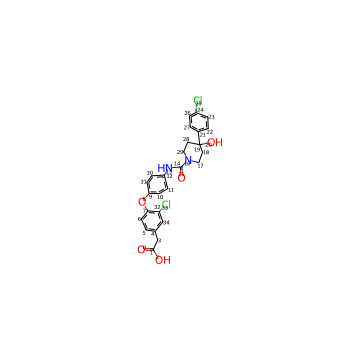 O=C(O)Cc1ccc(Oc2ccc(NC(=O)N3CCC(O)(c4ccc(Cl)cc4)CC3)cc2)c(Cl)c1